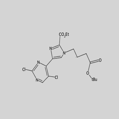 CCOC(=O)c1nc(-c2nc(Cl)ncc2Cl)cn1C[CH]CC(=O)OC(C)(C)C